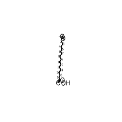 [O]OCCCCCCCCCCCCCCCC(=O)OO